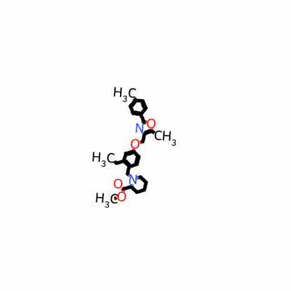 CCc1cc(OCc2nc(-c3ccc(C)cc3)oc2C)ccc1CN1CCCCC1C(=O)OC